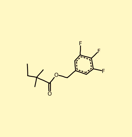 CCC(C)(C)C(=O)OCc1cc(F)c(F)c(F)c1